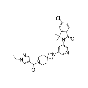 CCn1cc(C(=O)N2CCC3(CC2)CN(c2cncc(N4C(=O)c5ccc(Cl)cc5C4(C)C)c2)C3)cn1